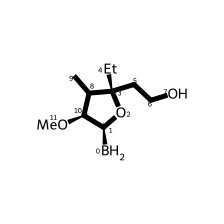 B[C@@H]1O[C@@](CC)(CCO)C(C)[C@@H]1OC